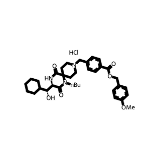 CCCCN1C(=O)[C@@H]([C@H](O)C2CCCCC2)NC(=O)C12CCN(Cc1ccc(C(=O)OCc3ccc(OC)cc3)cc1)CC2.Cl